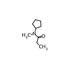 CCC(=O)N(C)C1CCCC1